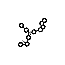 c1ccc(-c2ccc(N(c3ccc(-c4ccc5ccc6c7ccccc7ccc6c5c4)cc3)c3ccc(-c4cccc5c4sc4ccccc45)cc3)cc2)cc1